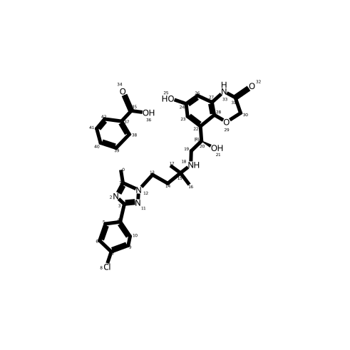 Cc1nc(-c2ccc(Cl)cc2)nn1CCC(C)(C)NC[C@H](O)c1cc(O)cc2c1OCC(=O)N2.O=C(O)c1ccccc1